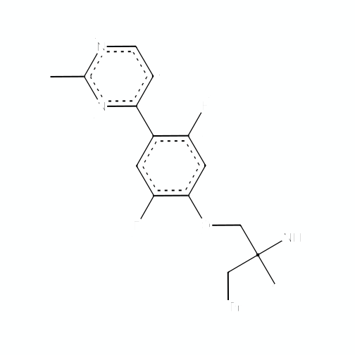 Cc1nccc(-c2cc(F)c(OCC(C)(N)CC(C)C)cc2F)n1